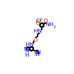 NC(=O)c1cc(CNCCCCOCCNc2cc(-c3cnns3)cc3[nH]ncc23)cc(OC(F)(F)F)c1